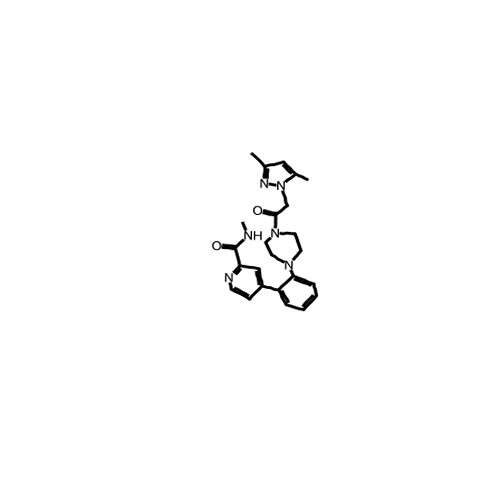 CNC(=O)c1cc(-c2ccccc2N2CCN(C(=O)Cn3nc(C)cc3C)CC2)ccn1